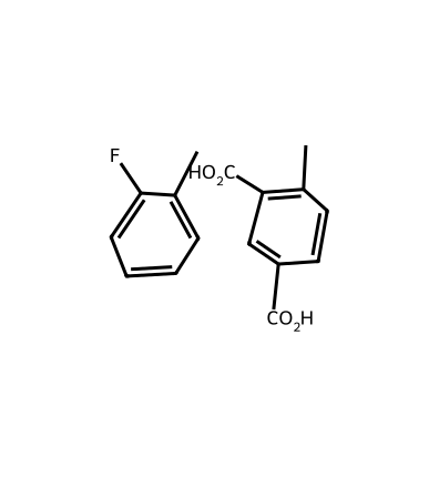 Cc1ccc(C(=O)O)cc1C(=O)O.Cc1ccccc1F